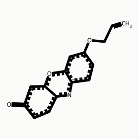 C=CCOc1ccc2nc3ccc(=O)cc-3oc2c1